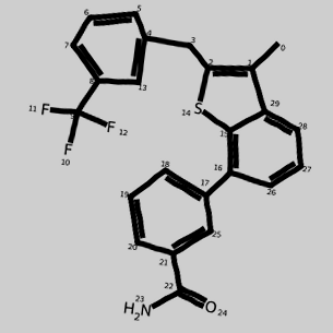 Cc1c(Cc2cccc(C(F)(F)F)c2)sc2c(-c3cccc(C(N)=O)c3)cccc12